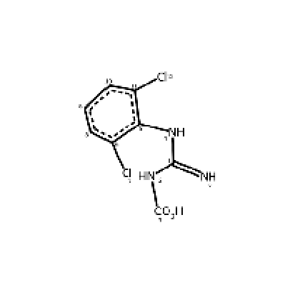 N=C(NC(=O)O)Nc1c(Cl)cccc1Cl